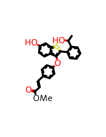 COC(=O)C=Cc1ccc(Oc2c(-c3ccccc3C(C)O)sc3cc(O)ccc23)cc1